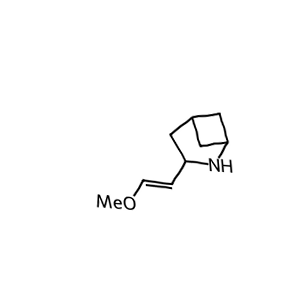 CO/C=C/C1CC2CC(C2)N1